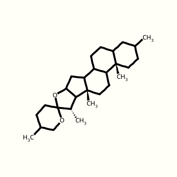 CC1CCC2(OC1)OC1CC3C4CCC5CC(C)CC[C@]5(C)C4CC[C@]3(C)C1[C@@H]2C